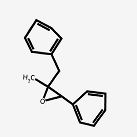 CC1(Cc2ccccc2)OC1c1ccccc1